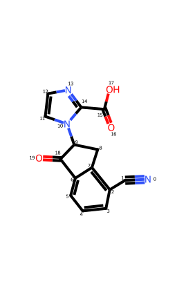 N#Cc1cccc2c1CC(n1ccnc1C(=O)O)C2=O